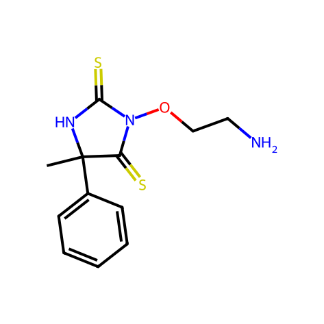 CC1(c2ccccc2)NC(=S)N(OCCN)C1=S